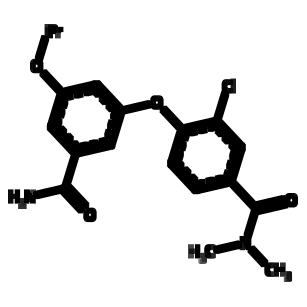 CC(C)Oc1cc(Oc2ccc(C(=O)N(C)C)cc2Cl)cc(C(N)=O)c1